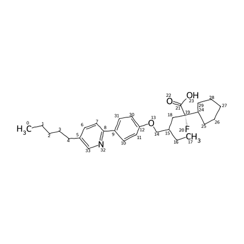 CCCCCc1ccc(-c2ccc(OCC(CC)C[C@@](F)(C(=O)O)C3CCCCC3)cc2)nc1